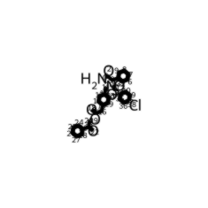 NC(=O)[C@@H](c1ccccc1)N(Cc1ccc(CC(=O)OCC(=O)c2ccccc2)cc1)S(=O)(=O)c1ccc(Cl)cc1